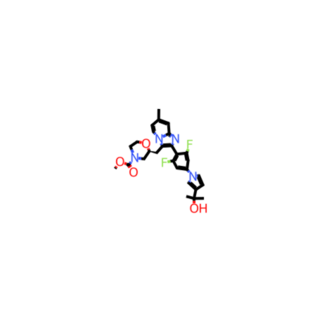 COC(=O)N1CCO[C@@H](Cc2c(-c3c(F)cc(-n4ccc(C(C)(C)O)c4)cc3F)nc3cc(C)ccn23)C1